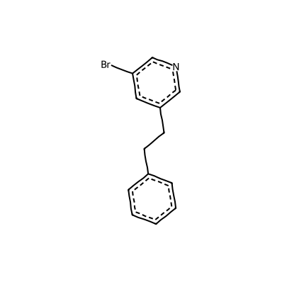 Brc1cncc(CCc2ccccc2)c1